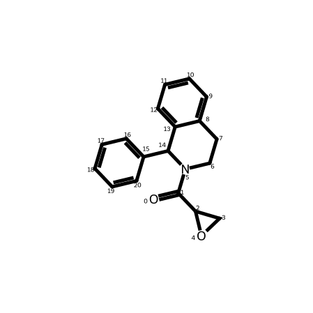 O=C(C1CO1)N1CCc2ccccc2C1c1ccccc1